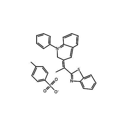 CC(=C1C=c2ccccc2=[N+](c2ccccc2)C1)c1nc2ccccc2s1.Cc1ccc(S(=O)(=O)[O-])cc1